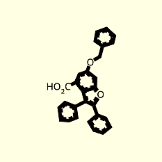 O=C(O)c1cc(OCc2ccccc2)cc2oc(-c3ccccc3)c(-c3ccccc3)c12